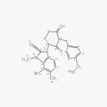 COc1ccc(CN2C(=O)CCC(n3c(=O)n(C)c4c(Br)c(C)ccc43)C2=O)cc1